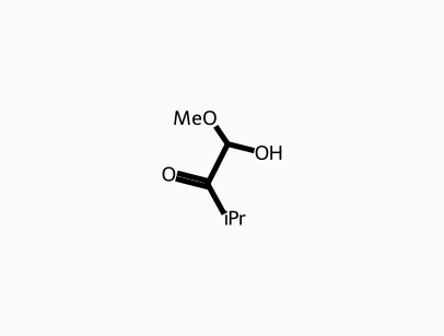 COC(O)C(=O)C(C)C